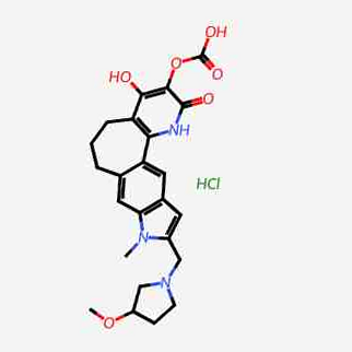 COC1CCN(Cc2cc3cc4c(cc3n2C)CCCc2c-4[nH]c(=O)c(OC(=O)O)c2O)C1.Cl